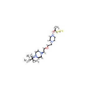 CC(ON1CCN(CCOCCN2CCN(C(C)(C)C)CC2)CC1)SS